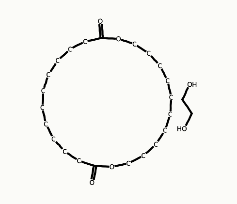 O=C1CCCCCCCCCCC(=O)OCCCCCCCCCCO1.OCCO